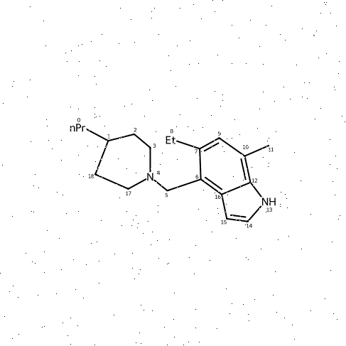 CCCC1CCN(Cc2c(CC)cc(C)c3[nH]ccc23)CC1